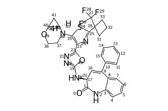 O=C1Nc2ccccc2C(c2ccccc2)=C[C@@H]1Nc1nnc(-c2nc(C3(C(F)(F)F)CCC3)sc2N2CCO[C@H]3C[C@H]32)o1